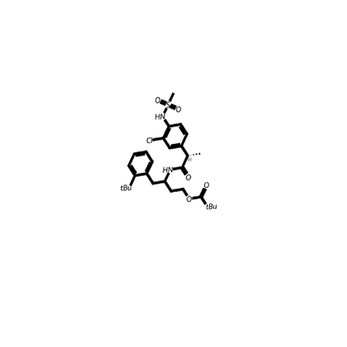 C[C@H](C(=O)NC(CCOC(=O)C(C)(C)C)Cc1ccccc1C(C)(C)C)c1ccc(NS(C)(=O)=O)c(Cl)c1